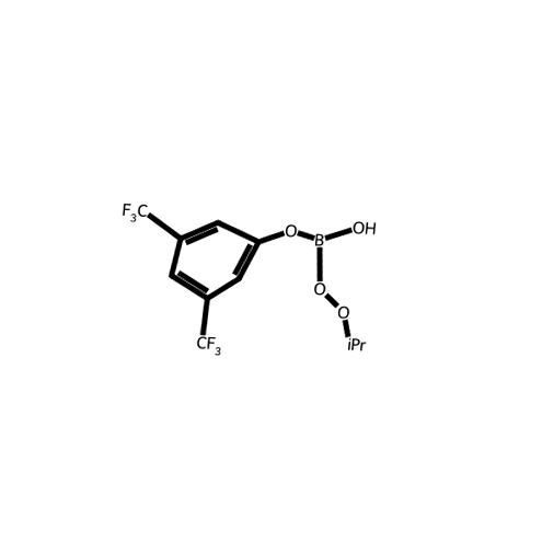 CC(C)OOB(O)Oc1cc(C(F)(F)F)cc(C(F)(F)F)c1